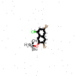 CC(C)(C)[Si](C)(C)Oc1cc2c(Cl)cc(Br)cc2cc1Br